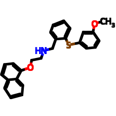 COc1cccc(Sc2ccccc2CNCCOc2cccc3ccccc23)c1